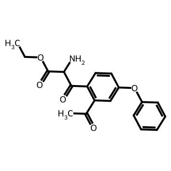 CCOC(=O)C(N)C(=O)c1ccc(Oc2ccccc2)cc1C(C)=O